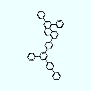 c1ccc(-c2ccc(-c3cc(-c4ccc(-c5cccc6c5ccc5nc(-c7ccccc7)cc(-c7ccccc7)c56)cc4)cc(-c4ccccc4)n3)cc2)cc1